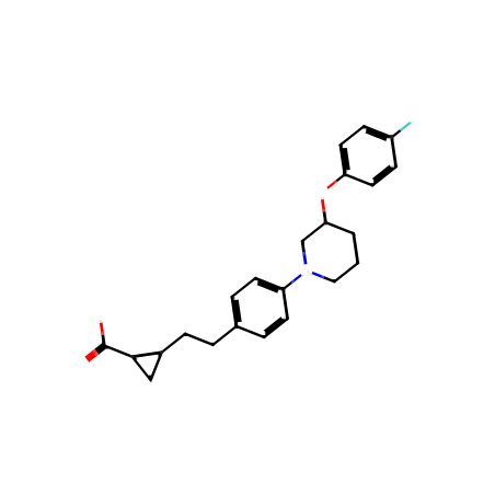 O=C(O)C1CC1CCc1ccc(N2CCCC(Oc3ccc(F)cc3)C2)cc1